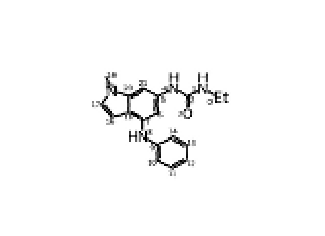 CCNC(=O)Nc1cc(Nc2ccccc2)c2ccn(C)c2c1